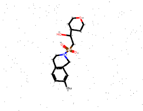 CC(C)(C)c1ccc2c(c1)CN(S(=O)(=O)CC(O)C1CCOCC1)CC2